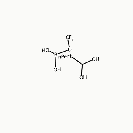 CCCCCC(O)O.OB(O)OC(F)(F)F